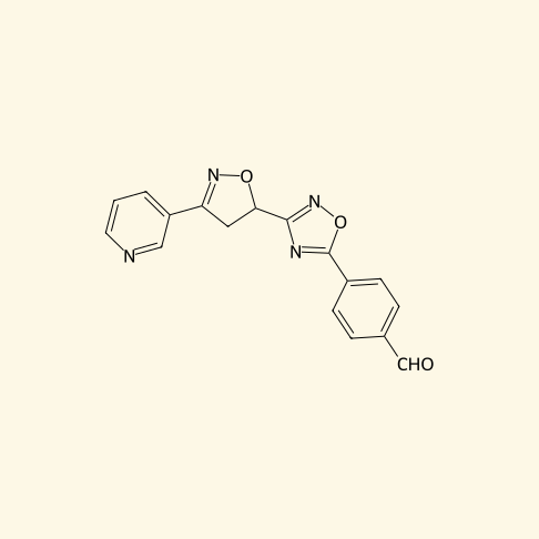 O=Cc1ccc(-c2nc(C3CC(c4cccnc4)=NO3)no2)cc1